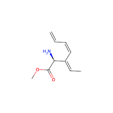 C=C/C=C\C(=C/C)[C@H](N)C(=O)OC